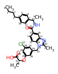 CCCCc1ccc([C@H](C)NC(=O)c2ccc3c(c2)nc(C)n3Cc2cc(Cl)cc(O[C@H](C)C(=O)O)c2)cc1